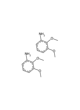 COc1cccc(N)c1OC.COc1cccc(N)c1OC